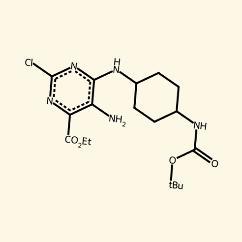 CCOC(=O)c1nc(Cl)nc(NC2CCC(NC(=O)OC(C)(C)C)CC2)c1N